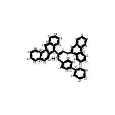 C(/Cc1cc2ccccc2c2ccccc12)=C(/Nc1ccc(-c2ccccc2)cc1)c1c2ccccc2cc2c1ccc1ccccc12